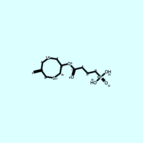 C=C1CSCC(OC(=O)CCCP(=O)(O)O)CSC1